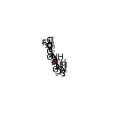 CC1SCNC1C(=O)NC12CC(C1)C(NC(=O)COc1ccc(Cl)c(F)c1)C2